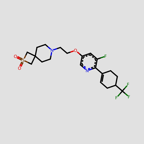 O=S1(=O)CC2(CCN(CCOc3cnc(C4=CCC(C(F)(F)F)CC4)c(F)c3)CC2)C1